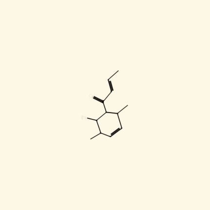 C/C=C/C(=O)C1C(C)C=CC(C)C1CC